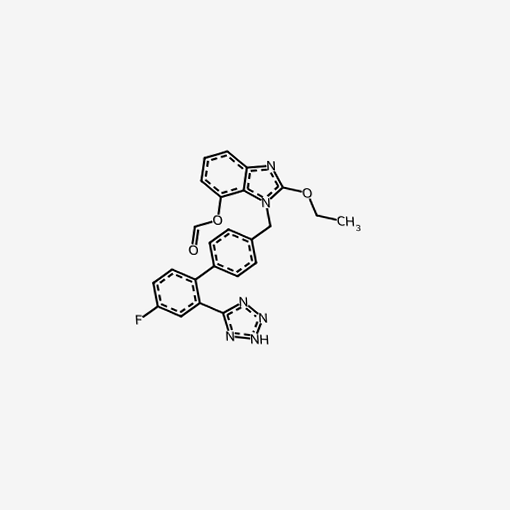 CCOc1nc2cccc(OC=O)c2n1Cc1ccc(-c2ccc(F)cc2-c2nn[nH]n2)cc1